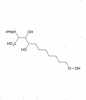 CCCCCCCC(C(O)C(O)CCCCCCCOO)S(=O)(=O)O